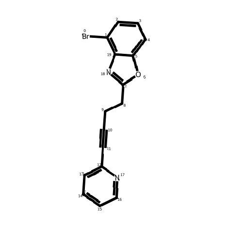 Brc1cccc2oc(CCC#Cc3ccccn3)nc12